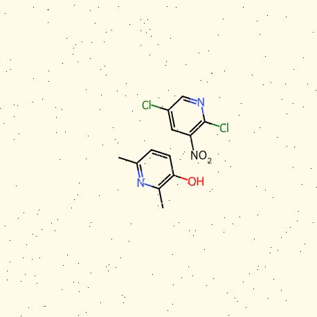 Cc1ccc(O)c(C)n1.O=[N+]([O-])c1cc(Cl)cnc1Cl